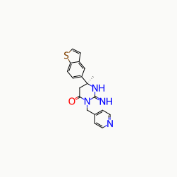 C[C@@]1(c2ccc3sccc3c2)CC(=O)N(Cc2ccncc2)C(=N)N1